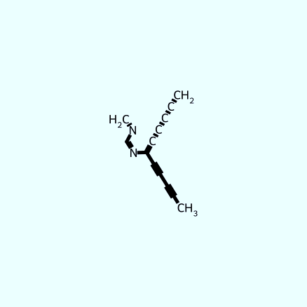 C=C=C=C=C=C(C#CC#CC)/N=C\N=C